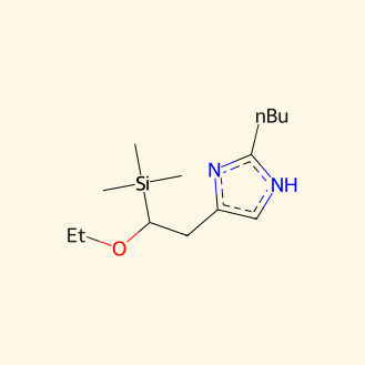 CCCCc1nc(CC(OCC)[Si](C)(C)C)c[nH]1